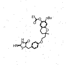 CCCCc1cc2c(cc1OC(=O)CC)CCC(C)(CCOc1ccc(CC3SC(=N)NC3=O)cc1)O2